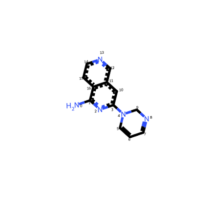 Nc1nc(N2C=CC=NC2)cc2cnccc12